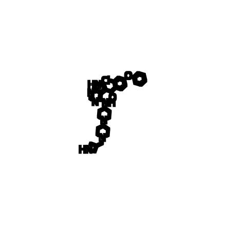 O=C(c1ccc(Oc2ccccc2)cc1Cl)c1c[nH]c2ncnc(NC3CCN(C4CCN(CC5CNC5)CC4)CC3)c12